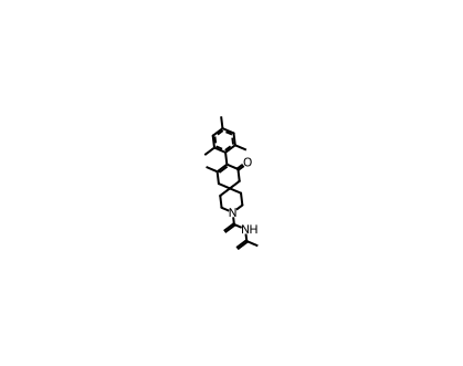 C=C(C)NC(=C)N1CCC2(CC1)CC(=O)C(c1c(C)cc(C)cc1C)=C(C)C2